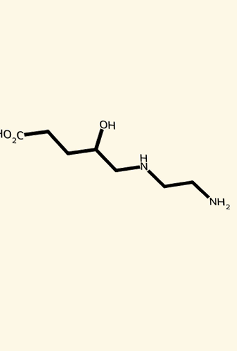 NCCNCC(O)CCC(=O)O